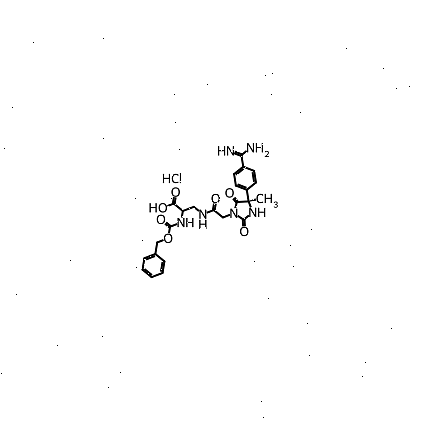 C[C@@]1(c2ccc(C(=N)N)cc2)NC(=O)N(CC(=O)NCC(NC(=O)OCc2ccccc2)C(=O)O)C1=O.Cl